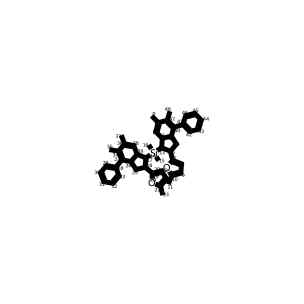 CC1=CC2C(CC(c3ccc(C)o3)C2[Si](C)(C)C2C(c3ccc(C)o3)CC3C(c4ccccc4)=C(C)C(C)=CC32)C(c2ccccc2)=C1C